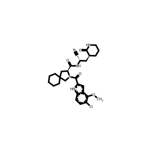 COc1c(Cl)ccc2[nH]c(C(=O)N3CC4(CCCCC4)C[C@H]3C(=O)N[C@H](C#N)C[C@@H]3CCCNC3=O)cc12